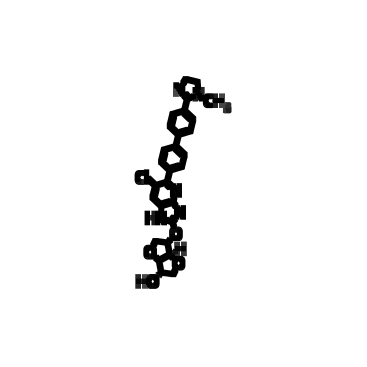 CN1CCN=C1c1ccc(-c2ccc(-c3nc4nc(O[C@@H]5COC6[C@H](O)CO[C@@H]65)[nH]c4cc3Cl)cc2)cc1